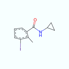 Cc1c(I)cccc1C(=O)NC1CC1